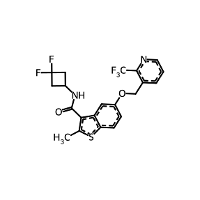 Cc1sc2ccc(OCc3cccnc3C(F)(F)F)cc2c1C(=O)NC1CC(F)(F)C1